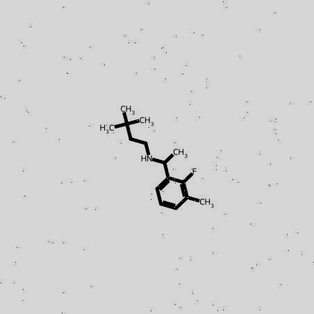 Cc1cccc(C(C)NCCC(C)(C)C)c1F